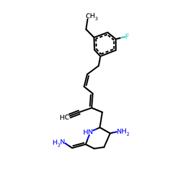 C#C/C(=C\C=C/Cc1cc(F)cc(CC)c1)CC1N/C(=C\N)CCC1N